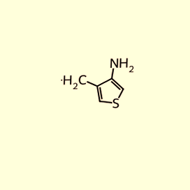 [CH2]c1cscc1N